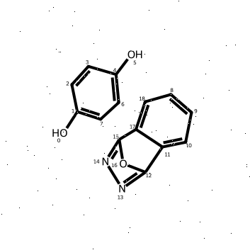 Oc1ccc(O)cc1.c1ccc2c3nnc(o3)c2c1